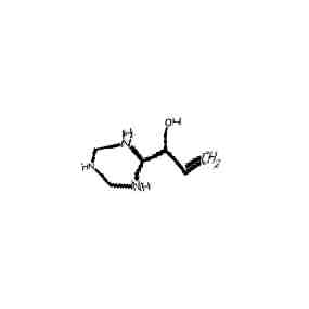 C=CC(O)C1NCNCN1